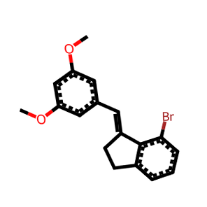 COc1cc(C=C2CCc3cccc(Br)c32)cc(OC)c1